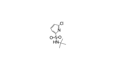 CC(C)(C)NS(=O)(=O)c1cccc(Cl)n1